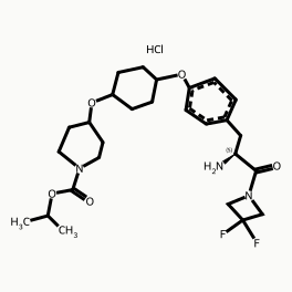 CC(C)OC(=O)N1CCC(OC2CCC(Oc3ccc(C[C@H](N)C(=O)N4CC(F)(F)C4)cc3)CC2)CC1.Cl